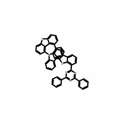 c1ccc(-c2nc(-c3ccccc3)nc(-c3cccc4c3oc3ccc(-c5cccc6sc7cccc(-n8c9ccccc9c9ccccc98)c7c56)cc34)n2)cc1